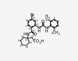 Cc1cccc(C)c1NC(=O)Nc1cc(Br)ccc1C(=O)NC1(CC(=O)O)CCCCC1